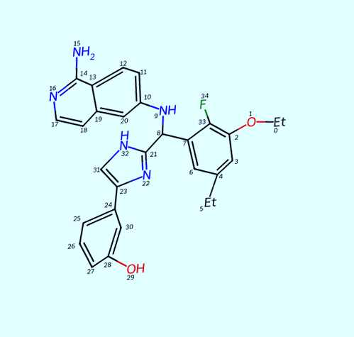 CCOc1cc(CC)cc(C(Nc2ccc3c(N)nccc3c2)c2nc(-c3cccc(O)c3)c[nH]2)c1F